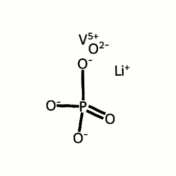 O=P([O-])([O-])[O-].[Li+].[O-2].[V+5]